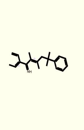 C=C/C(=C\C)C(=N)/C(C)=C(\C)CC(C)(C)c1ccccc1